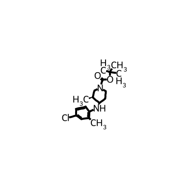 Cc1cc(Cl)ccc1N[C@@H]1CCN(C(=O)OC(C)(C)C)C[C@@H]1C